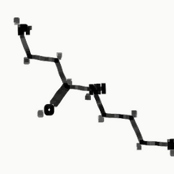 CCC(C)CCCNC(=O)CCC(C)C